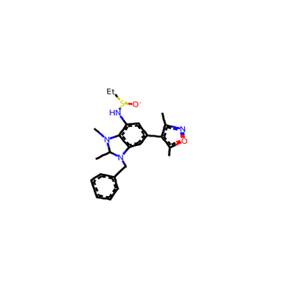 CC[S+]([O-])Nc1cc(-c2c(C)noc2C)cc2c1N(C)C(C)N2Cc1ccccc1